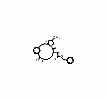 COC1C[C@H]2CCc3cccc(c3)C(=O)N(C)CCC[C@H](NC(=O)OCc3ccccc3)C(=O)N2C1